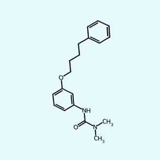 CN(C)C(=O)Nc1cccc(OCCCCc2ccccc2)c1